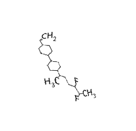 C=CC1CCC(C2CCC(C(C)CCC(F)C(C)F)CC2)CC1